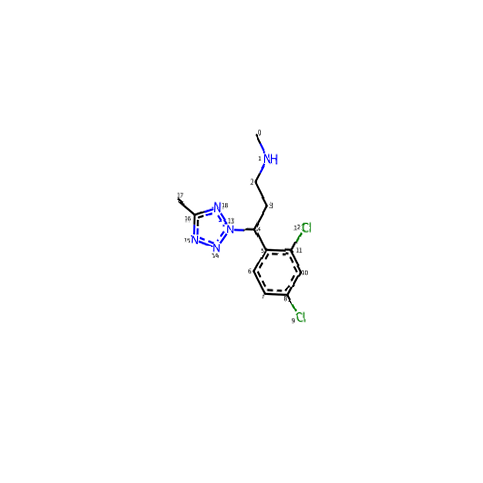 CNCCC(c1ccc(Cl)cc1Cl)n1nnc(C)n1